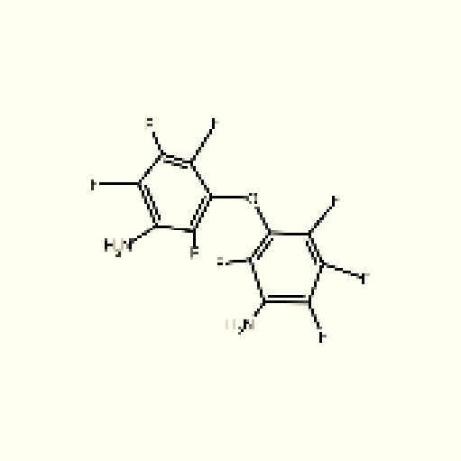 Nc1c(F)c(F)c(F)c(Oc2c(F)c(N)c(F)c(F)c2F)c1F